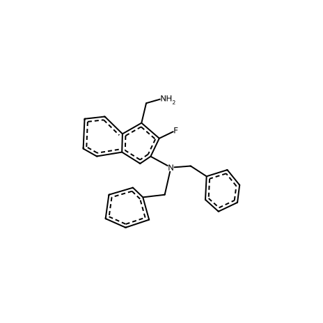 NCc1c(F)c(N(Cc2ccccc2)Cc2ccccc2)cc2ccccc12